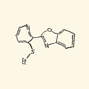 CCSc1cccnc1-c1nc2ccccc2o1